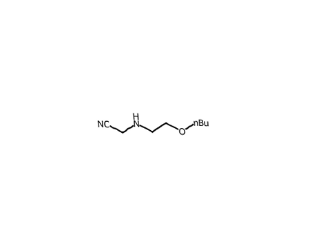 CCCCOCCNCC#N